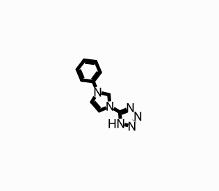 C1=CN(c2nnn[nH]2)CN1c1ccccc1